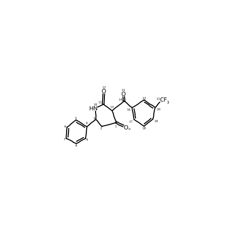 O=C1CC(c2ccccc2)NC(=O)C1C(=O)c1cccc(C(F)(F)F)c1